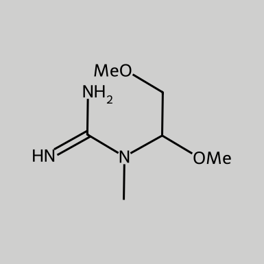 COCC(OC)N(C)C(=N)N